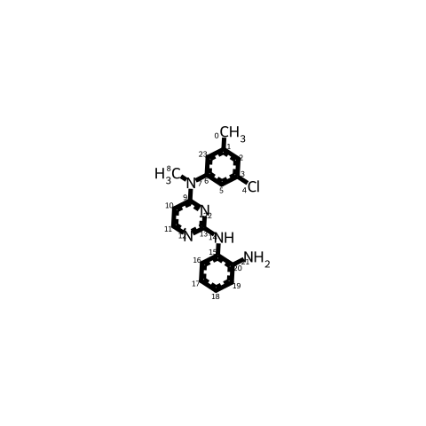 Cc1cc(Cl)cc(N(C)c2ccnc(Nc3ccccc3N)n2)c1